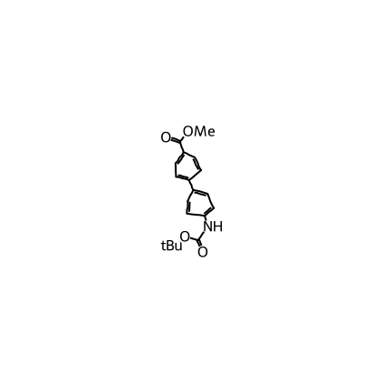 COC(=O)c1ccc(-c2ccc(NC(=O)OC(C)(C)C)cc2)cc1